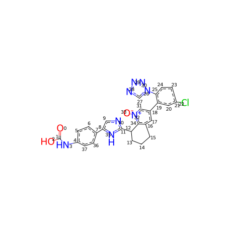 O=C(O)Nc1ccc(-c2cnc(C3CCCc4cc(-c5cc(Cl)ccc5-n5cnnn5)c[n+]([O-])c43)[nH]2)cc1